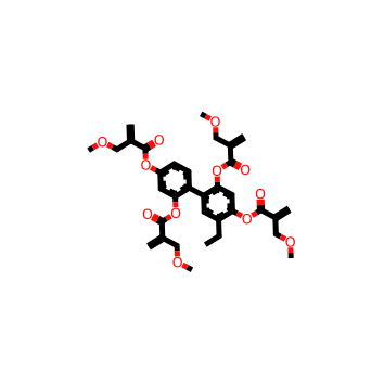 C=C(COC)C(=O)Oc1ccc(-c2cc(CC)c(OC(=O)C(=C)COC)cc2OC(=O)C(=C)COC)c(OC(=O)C(=C)COC)c1